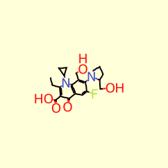 CCc1c(C(=O)O)c(=O)c2cc(F)c(N3CCCC3CO)c(CO)c2n1C1CC1